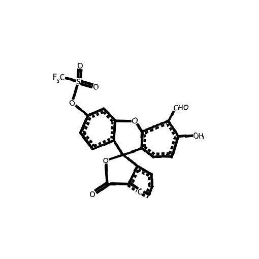 O=Cc1c(O)ccc2c1Oc1cc(OS(=O)(=O)C(F)(F)F)ccc1C21OC(=O)c2ccccc21